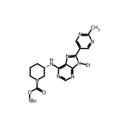 CCn1c(-c2cnc(C)nc2)nc2c(N[C@H]3CCCN(C(=O)OC(C)(C)C)C3)ncnc21